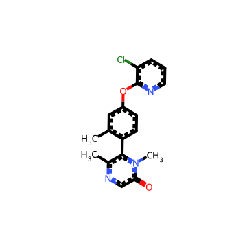 Cc1cc(Oc2ncccc2Cl)ccc1-c1c(C)ncc(=O)n1C